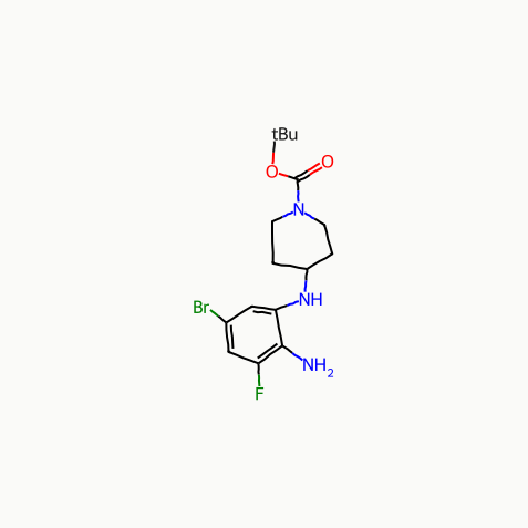 CC(C)(C)OC(=O)N1CCC(Nc2cc(Br)cc(F)c2N)CC1